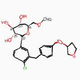 O=COC[C@H]1O[C@@H](c2ccc(Cl)c(Cc3ccc(OC4CCOC4)cc3)c2)[C@H](O)[C@@H](O)[C@@H]1O